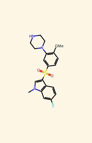 COc1ccc(S(=O)(=O)c2cn(C)c3cc(F)ccc23)cc1N1CCNCC1